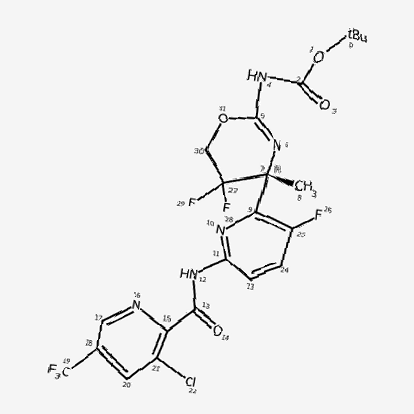 CC(C)(C)OC(=O)NC1=N[C@](C)(c2nc(NC(=O)c3ncc(C(F)(F)F)cc3Cl)ccc2F)C(F)(F)CO1